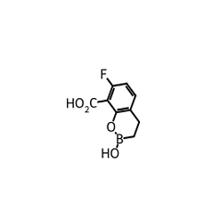 O=C(O)c1c(F)ccc2c1OB(O)CC2